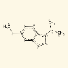 CCc1ccc2c(ccn2C(C)C)c1